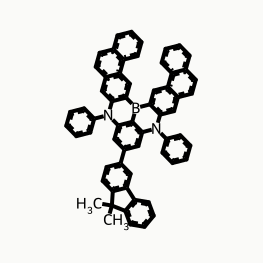 CC1(C)c2ccccc2-c2cc(-c3cc4c5c(c3)N(c3ccccc3)c3cc6ccc7ccccc7c6cc3B5c3cc5c(ccc6ccccc65)cc3N4c3ccccc3)ccc21